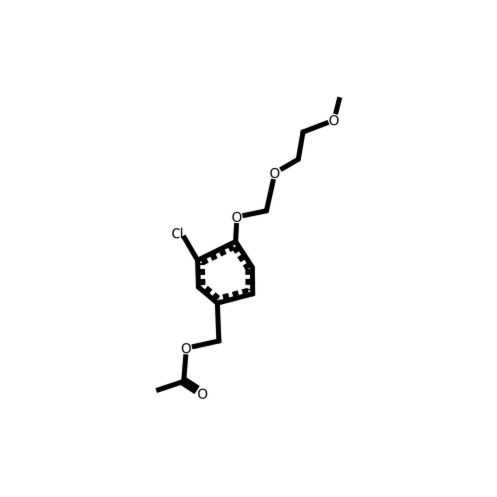 COCCOCOc1ccc(COC(C)=O)cc1Cl